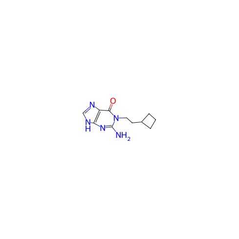 Nc1nc2[nH]cnc2c(=O)n1CCC1CCC1